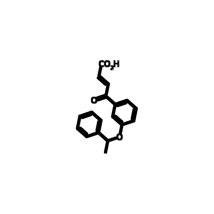 CC(Oc1cccc(C(=O)/C=C/C(=O)O)c1)c1ccccc1